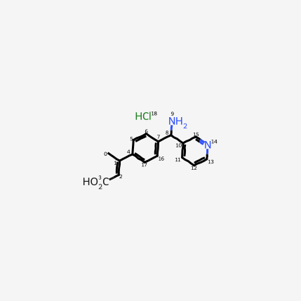 CC(=CC(=O)O)c1ccc(C(N)c2cccnc2)cc1.Cl